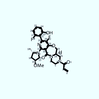 C=CC(=O)N1CCN2C(=O)c3c(N4C[C@@H](OC)C[C@@H]4C)nc(-c4c(O)cccc4F)c(F)c3OC[C@H]2C1